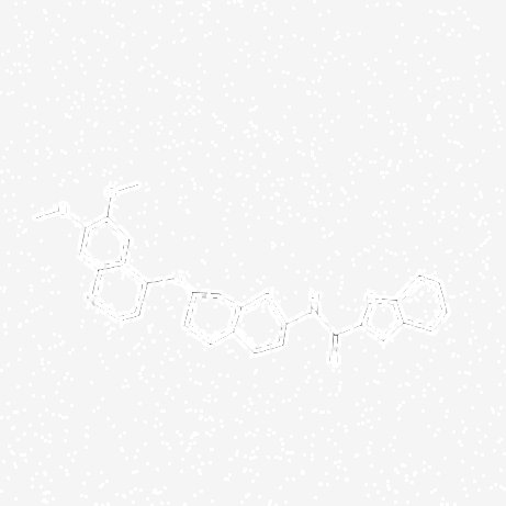 COc1cc2nccc(Oc3ccc4ccc(NC(=O)c5cc6ccccc6o5)cc4c3)c2cc1OC